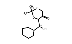 CC1(C)OCC(=O)C([C@@H](O)C2CCCCC2)O1